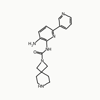 Nc1ccc(-c2cccnc2)nc1NC(=O)N1CC2(CCNCC2)C1